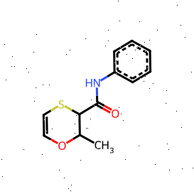 CC1OC=CSC1C(=O)Nc1ccccc1